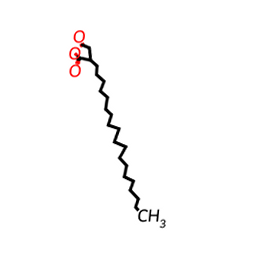 CCCCCCCCCCCCCCCCCCCC1CC(=O)OC1=O